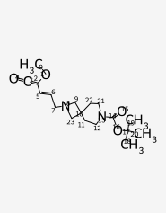 COC(=C=O)/C=C/CN1CC2(CCN(C(=O)OC(C)(C)C)CC2)C1